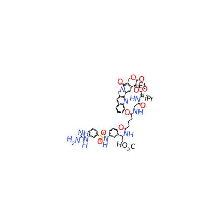 CC[C@@]1(OC(=O)[C@@H](NC(=O)CNC(=O)CCCC(=O)NC(CC(=O)O)c2cccc(NS(=O)(=O)c3cccc(NC(=N)N)c3)c2)C(C)C)C(=O)OCc2c1cc1n(c2=O)Cc2cc3ccccc3nc2-1